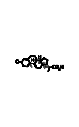 CC(C(=O)O)[C@H]1CC[C@H]2[C@@H]3CCC4=CC(=O)CC[C@]4(C)C3=CC[C@]12C